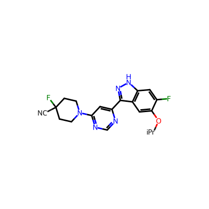 CC(C)Oc1cc2c(-c3cc(N4CCC(F)(C#N)CC4)ncn3)n[nH]c2cc1F